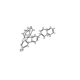 Clc1ccc2c(c1)-c1ccc(-c3ccc4ccccc4c3)cc1C21C2CC3CC(C2)CC1C3